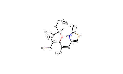 CC[Si](CC)(CC)OC(C(C)=Cc1csc(C)n1)C(C)CI